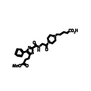 COC(=O)CCc1sc(C(=O)NCC(=O)N2CCN(CCCCC(=O)O)CC2)nc1-c1ccccc1